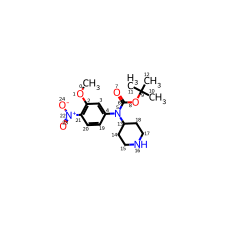 COc1cc(N(C(=O)OC(C)(C)C)C2CCNCC2)ccc1[N+](=O)[O-]